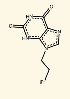 CC(C)CCn1cnc2c(=O)[nH]c(=O)[nH]c21